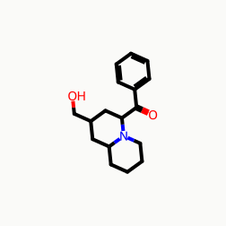 O=C(c1ccccc1)C1CC(CO)CC2CCCCN21